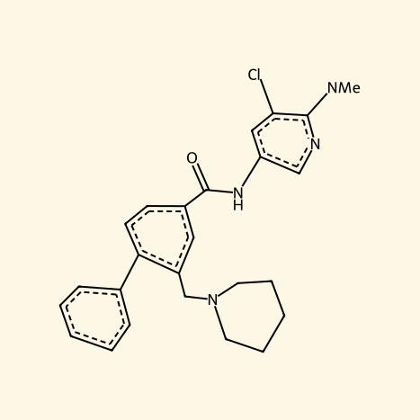 CNc1ncc(NC(=O)c2ccc(-c3ccccc3)c(CN3CCCCC3)c2)cc1Cl